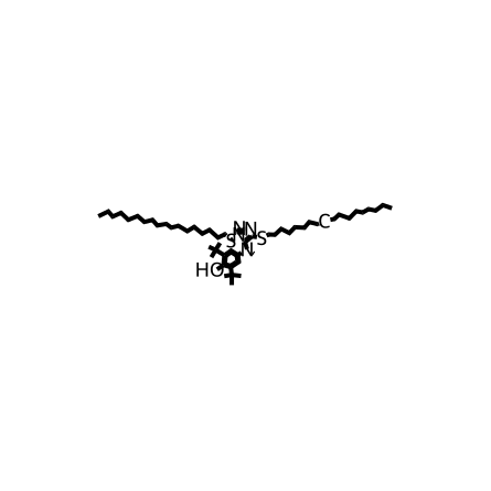 CCCCCCCCCCCCCCCCCCSc1nnn(SCCCCCCCCCCCCCCCCCC)c1N(C)c1cc(C(C)(C)C)c(O)c(C(C)(C)C)c1